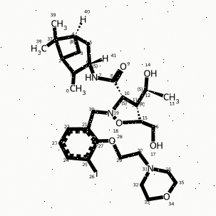 CC1C2C[C@H](C[C@@H]1NC(=O)[C@@H]1[C@H]([C@H](C)O)C(CO)ON1Cc1cccc(I)c1OCCN1CCOCC1)C2(C)C